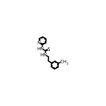 Cc1cccc(CCNC(=S)Nc2ccccn2)c1